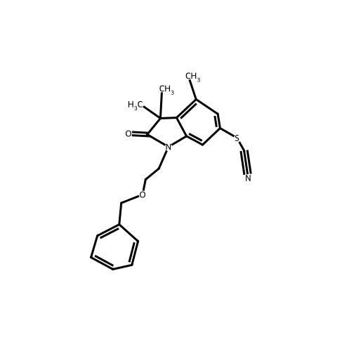 Cc1cc(SC#N)cc2c1C(C)(C)C(=O)N2CCOCc1ccccc1